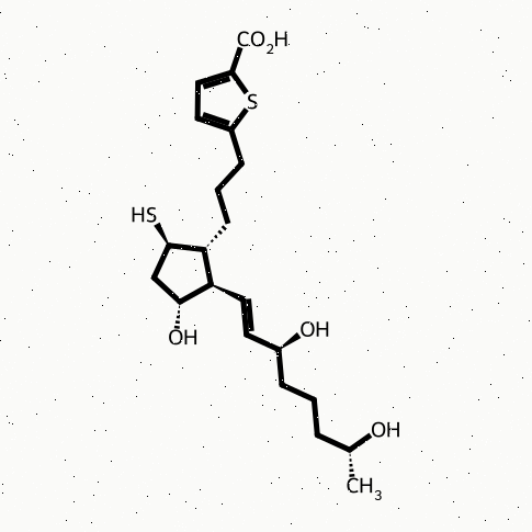 C[C@@H](O)CCC[C@H](O)/C=C/[C@@H]1[C@@H](CCCc2ccc(C(=O)O)s2)[C@H](S)C[C@H]1O